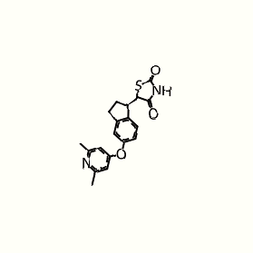 Cc1cc(Oc2ccc3c(c2)CC[C@H]3C2SC(=O)NC2=O)cc(C)n1